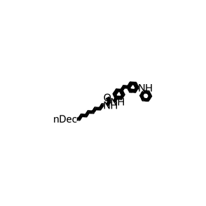 CCCCCCCCCCCCCCCCCCNC(=O)Nc1ccc(Cc2ccc(NC3CCCCC3)cc2)cc1